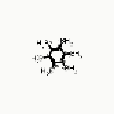 Bc1c(B)c(B)c(B)c(B)c1B